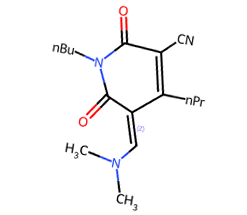 CCCCN1C(=O)C(C#N)=C(CCC)/C(=C/N(C)C)C1=O